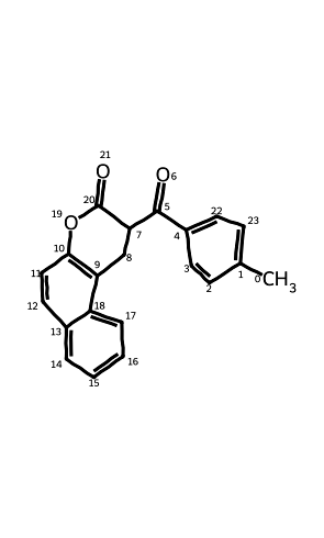 Cc1ccc(C(=O)C2Cc3c(ccc4ccccc34)OC2=O)cc1